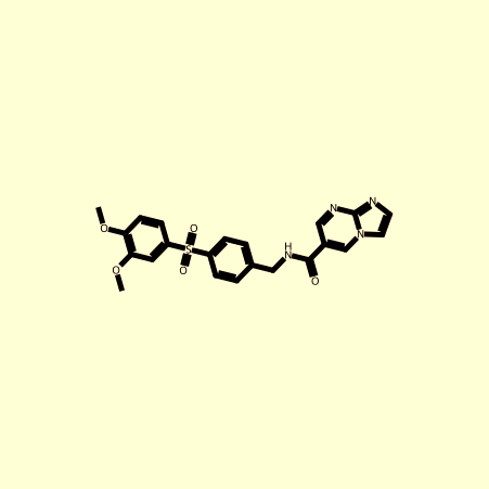 COc1ccc(S(=O)(=O)c2ccc(CNC(=O)c3cnc4nccn4c3)cc2)cc1OC